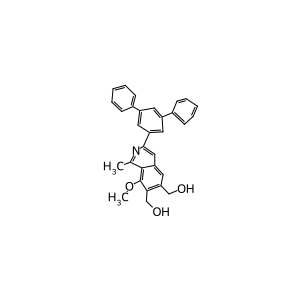 COc1c(CO)c(CO)cc2cc(-c3cc(-c4ccccc4)cc(-c4ccccc4)c3)nc(C)c12